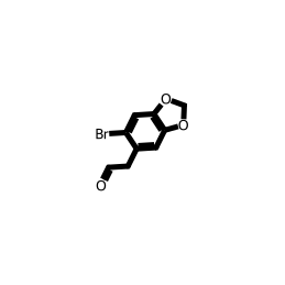 O=CCc1cc2c(cc1Br)OCO2